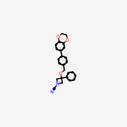 N#CN1CC(OCc2ccc(-c3ccc4c(c3)OCCO4)cc2)(c2ccccc2)C1